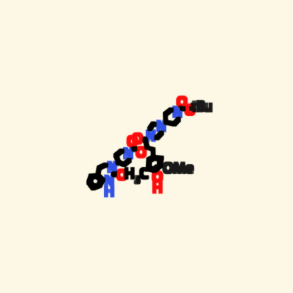 COc1cc(C[C@@H](OC(=O)N2CCC(N3CCc4ccccc4NC3=O)CC2)C(=O)N2CCN(C3CCN(C(=O)OC(C)(C)C)CC3)CC2)cc(C)c1O